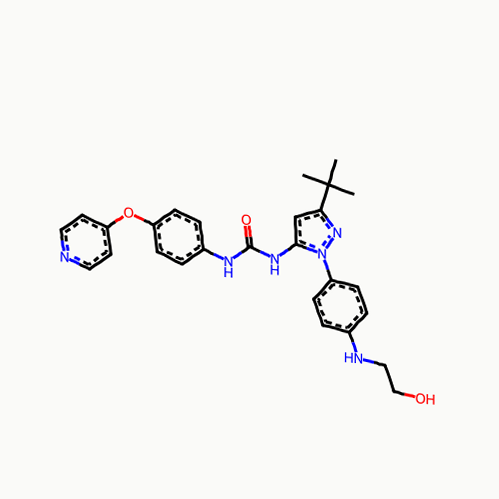 CC(C)(C)c1cc(NC(=O)Nc2ccc(Oc3ccncc3)cc2)n(-c2ccc(NCCO)cc2)n1